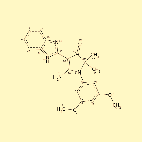 COc1cc(OC)cc(N2C(N)=C(c3nc4ccccc4[nH]3)C(=O)C2(C)C)c1